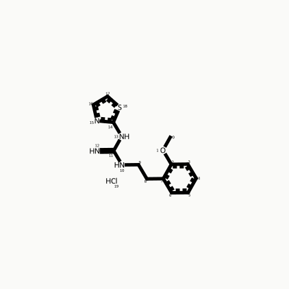 COc1ccccc1CCNC(=N)Nc1nccs1.Cl